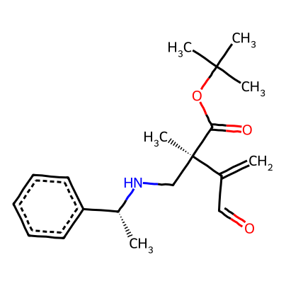 C=C(C=O)[C@@](C)(CN[C@H](C)c1ccccc1)C(=O)OC(C)(C)C